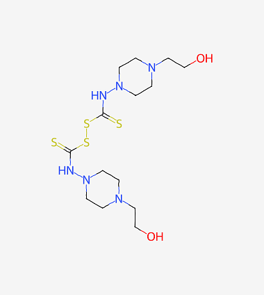 OCCN1CCN(NC(=S)SSC(=S)NN2CCN(CCO)CC2)CC1